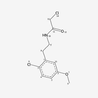 COc1ccc(Cl)c(CCNC(=O)CCl)c1